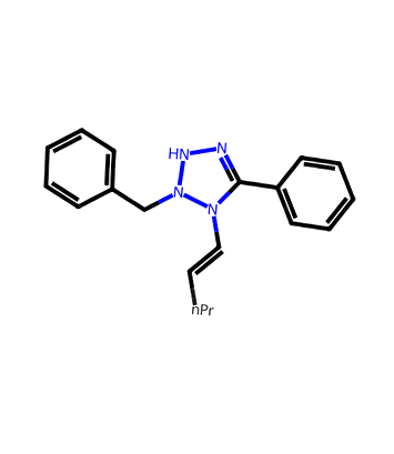 CCCC=CN1C(c2ccccc2)=NNN1Cc1ccccc1